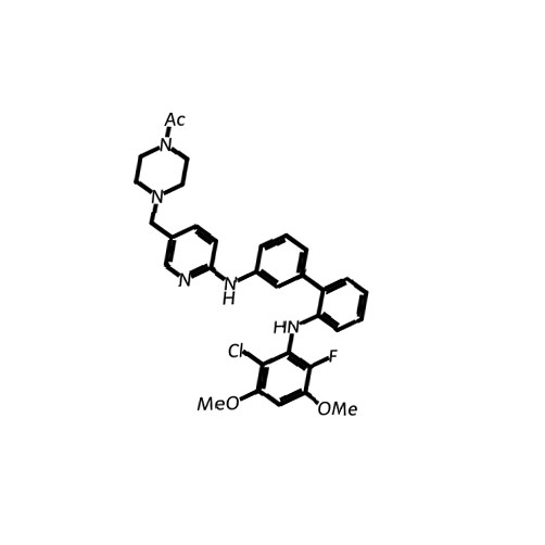 COc1cc(OC)c(Cl)c(Nc2ccccc2-c2cccc(Nc3ccc(CN4CCN(C(C)=O)CC4)cn3)c2)c1F